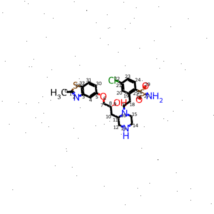 Cc1nc2cc(OC[C@H](O)CC3CNCCN3CCc3cc(Cl)ccc3S(N)(=O)=O)ccc2s1